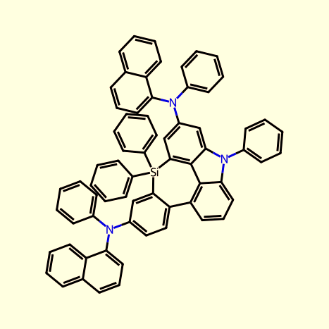 c1ccc(N(c2ccc3c(c2)[Si](c2ccccc2)(c2ccccc2)c2cc(N(c4ccccc4)c4cccc5ccccc45)cc4c2c2c-3cccc2n4-c2ccccc2)c2cccc3ccccc23)cc1